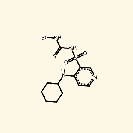 CCNC(=S)NS(=O)(=O)c1cnccc1NC1CCCCC1